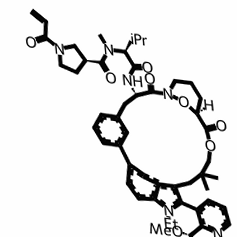 C=CC(=O)N1CC[C@H](C(=O)N(C)[C@H](C(=O)N[C@H]2Cc3cccc(c3)-c3ccc4c(c3)c(c(-c3cccnc3[C@H](C)OC)n4CC)CC(C)(C)COC(=O)[C@@H]3CCCN(O3)C2=O)C(C)C)C1